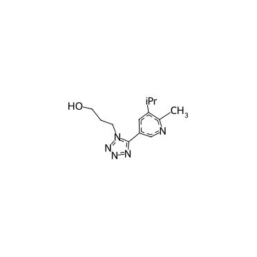 Cc1ncc(-c2nnnn2CCCO)cc1C(C)C